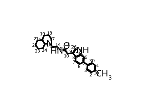 Cc1ccc(-c2ccc3c(CC(=O)NCCN4CCCC5CCCCC54)c[nH]c3c2)cc1